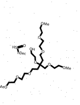 CCCCCCCCCC[SiH]=O.COCCOCCOCCC(CCOCCOCCOC)(COCCOC)OCCO